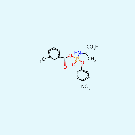 Cc1cccc(C(=O)OP(=O)(N[C@@H](C)C(=O)O)Oc2ccc([N+](=O)[O-])cc2)c1